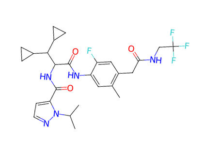 Cc1cc(NC(=O)C(NC(=O)c2ccnn2C(C)C)C(C2CC2)C2CC2)c(F)cc1CC(=O)NCC(F)(F)F